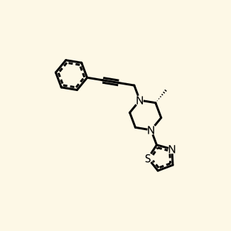 C[C@@H]1CN(c2nccs2)CCN1CC#Cc1ccccc1